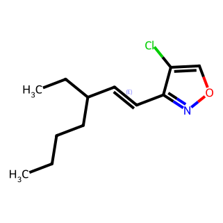 CCCCC(/C=C/c1nocc1Cl)CC